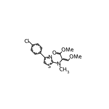 CO/C=C(\C(=O)OC)N(C)c1nc(-c2ccc(Cl)cc2)cs1